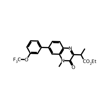 CCOC(=O)C(C)c1nc2ccc(-c3cccc(OC(F)(F)F)c3)cc2n(C)c1=O